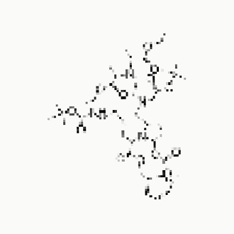 CCOC(=O)OC1CCC(CN(CCN(C(C)C(=O)OCC)C(C)C(=O)OCC)CC(=O)OC(C)(C)C)N1C(CCCCNC(=O)OC(C)(C)C)C(=O)OCc1ccccc1